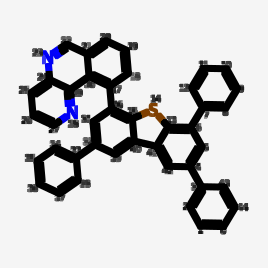 c1ccc(-c2cc(-c3ccccc3)c3sc4c(-c5cccc6cnc7cccnc7c56)cc(-c5ccccc5)cc4c3c2)cc1